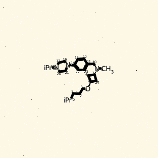 CC(C)CCCO[C@H]1C[C@H](N(C)Cc2ccc(N3CCN(C(C)C)CC3)cc2)C1